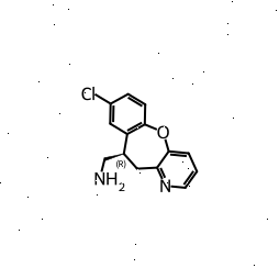 NC[C@@H]1Cc2ncccc2Oc2ccc(Cl)cc21